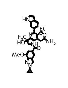 CCOc1c(CC(N)=O)cc([C@@](O)(CNC(=O)c2cc(OC)c3nn(C4CC4)cc3c2)C(F)(F)F)nc1-c1ccc2cc[nH]c2c1